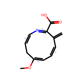 C=C1/C=C\C=C(\OC)C/C=C\N=C/1C(=O)O